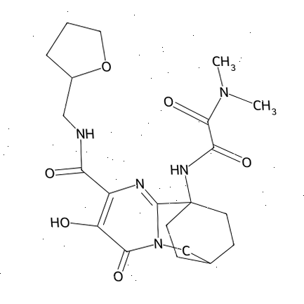 CN(C)C(=O)C(=O)NC12CCC(CC1)Cn1c2nc(C(=O)NCC2CCCO2)c(O)c1=O